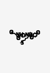 COc1ccc2oc(C(CCCCSC)Nc3ccc(C(=O)NCCC=O)cc3)c(C)c2c1